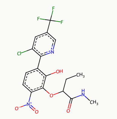 CCC(Oc1c([N+](=O)[O-])ccc(-c2ncc(C(F)(F)F)cc2Cl)c1O)C(=O)NC